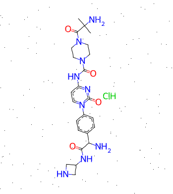 CC(C)(N)C(=O)N1CCN(C(=O)Nc2ccn(-c3ccc(C(N)C(=O)NC4CNC4)cc3)c(=O)n2)CC1.Cl